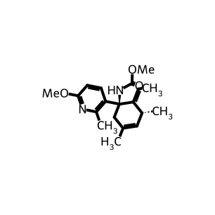 C/C=C1\[C@H](C)C=C(C)C[C@]1(NC(=O)OC)c1ccc(OC)nc1C